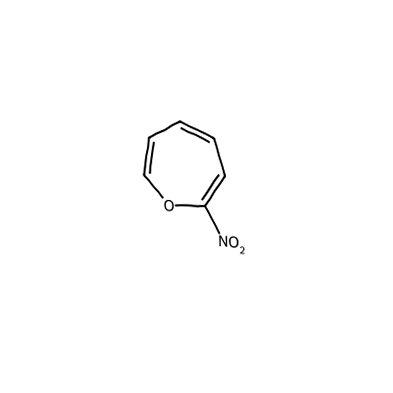 O=[N+]([O-])C1=CC=CC=CO1